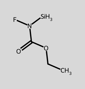 CCOC(=O)N(F)[SiH3]